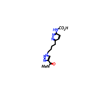 CNC(=O)c1cn(CCCCc2ccc(NC(=O)O)nn2)nn1